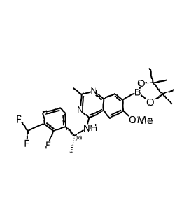 COc1cc2c(N[C@H](C)c3cccc(C(F)F)c3F)nc(C)nc2cc1B1OC(C)(C)C(C)(C)O1